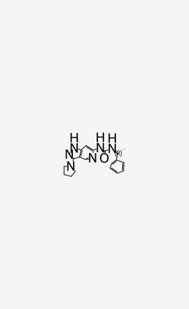 C[C@@H](NC(=O)Nc1cc2[nH]nc(N3CCCC3)c2cn1)c1ccccc1